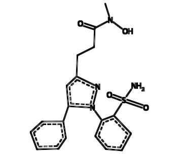 CN(O)C(=O)CCc1cc(-c2ccccc2)n(-c2ccccc2S(N)(=O)=O)n1